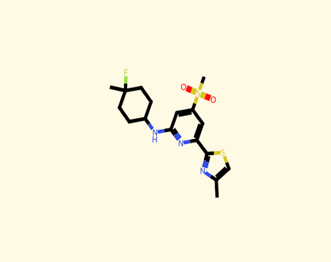 Cc1csc(-c2cc(S(C)(=O)=O)cc(NC3CCC(C)(F)CC3)n2)n1